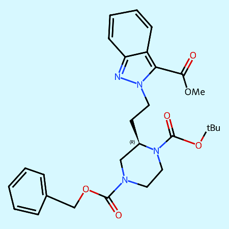 COC(=O)c1c2ccccc2nn1CC[C@@H]1CN(C(=O)OCc2ccccc2)CCN1C(=O)OC(C)(C)C